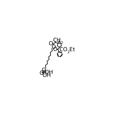 C=C(C(=O)OCCCCCCCCCCOP(=O)(O)O)C12CC1CC(C(=O)OCC)(C(=O)c1ccccc1)C2